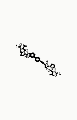 COC(=O)N[C@H](C(=O)N1CCC[C@H]1c1ncc(C#Cc2ccc(-c3ccc4nc([C@@H]5CCCN5C(=O)[C@@H](NC(=O)OC)C(C)C)[nH]c4c3)cc2)[nH]1)C(C)C